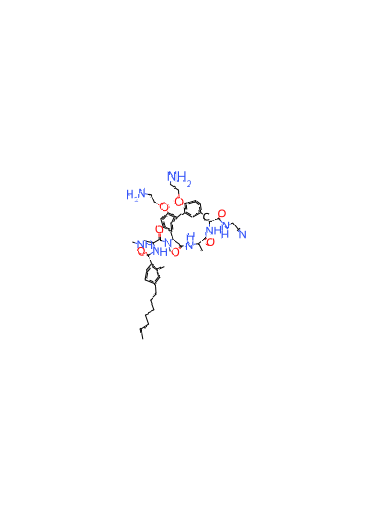 CCCCCCCc1ccc(C(=O)NC(CNC)C(=O)N(C)C2C(=O)NC(C)C(=O)NC(C(=O)NCC#N)Cc3ccc(OCCN)c(c3)-c3cc2ccc3OCCN)c(C)c1